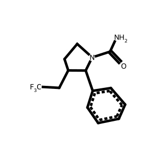 NC(=O)N1CCC(CC(F)(F)F)C1c1ccccc1